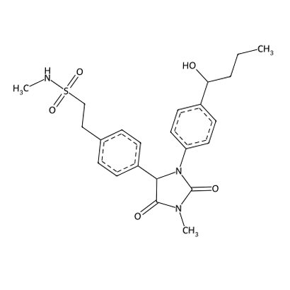 CCCC(O)c1ccc(N2C(=O)N(C)C(=O)C2c2ccc(CCS(=O)(=O)NC)cc2)cc1